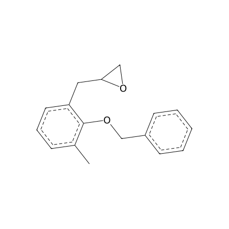 Cc1cccc(CC2CO2)c1OCc1ccccc1